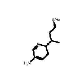 COCCC(C)C1CC=C(N)C=N1